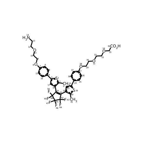 Cc1sc(-c2ccc(OCCOCCN)cc2)cc1C1=C(c2cc(-c3ccc(OCCOCCOCC(=O)O)cc3)sc2C)C(F)(F)C(F)(F)C1(F)F